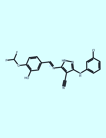 N#Cc1c(Nc2cccc(Cl)c2)n[nH]c1/N=C/c1ccc(OC(F)F)c(O)c1